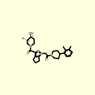 Cc1cccc(C2CCN(C(=O)Cn3nc(C(=O)N4CC[C@H](O)[C@@H](F)C4)c4c3CCC4)CC2)c1C